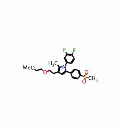 COCCOCCc1cc(-c2ccc(S(C)(=O)=O)cc2)n(-c2ccc(F)c(F)c2)c1C